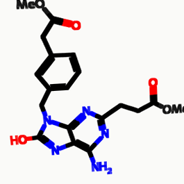 COC(=O)CCc1nc(N)c2nc(O)n(Cc3cccc(CC(=O)OC)c3)c2n1